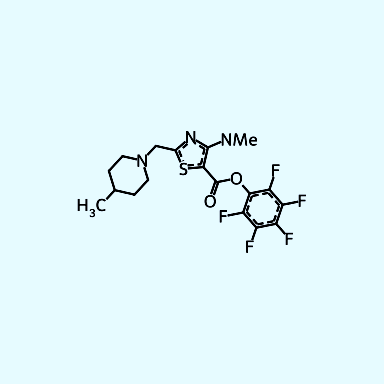 CNc1nc(CN2CCC(C)CC2)sc1C(=O)Oc1c(F)c(F)c(F)c(F)c1F